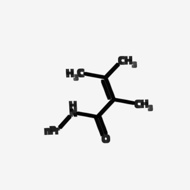 [CH2]CCNC(=O)C(C)=C(C)C